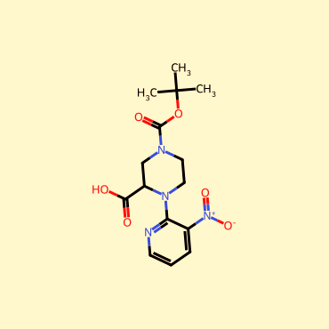 CC(C)(C)OC(=O)N1CCN(c2ncccc2[N+](=O)[O-])C(C(=O)O)C1